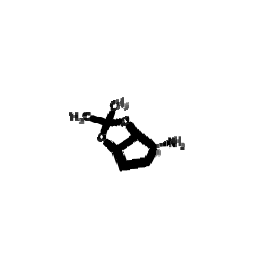 CC1(C)OC2C=C[C@@H](N)C2O1